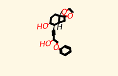 C[C@]12CC[C@@H](O)[C@H](C#C[C@H](O)COc3ccccc3)[C@H]1CC21OCCO1